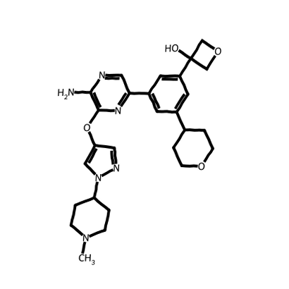 CN1CCC(n2cc(Oc3nc(-c4cc(C5CCOCC5)cc(C5(O)COC5)c4)cnc3N)cn2)CC1